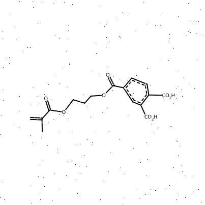 C=C(C)C(=O)OCCCOC(=O)c1ccc(C(=O)O)c(C(=O)O)c1